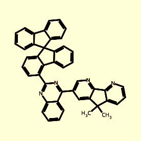 CC1(C)c2cccnc2-c2ncc(-c3nc(-c4cccc5c4-c4ccccc4C54c5ccccc5-c5ccccc54)nc4ccccc34)cc21